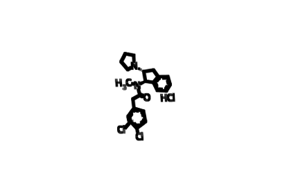 CN(C(=O)Cc1ccc(Cl)c(Cl)c1)[C@@H]1c2ccccc2C[C@H]1N1CCCC1.Cl